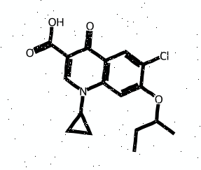 CCC(C)Oc1cc2c(cc1Cl)c(=O)c(C(=O)O)cn2C1CC1